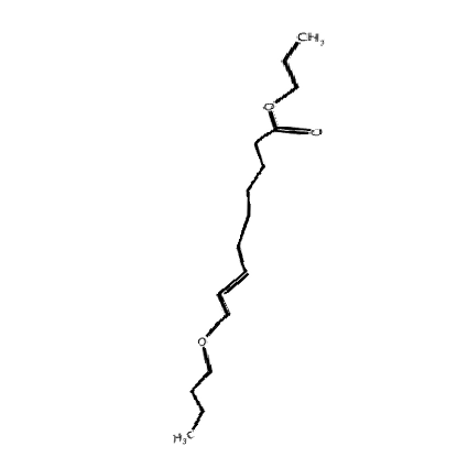 CCCCOC/C=C/CCCCCC(=O)OCCC